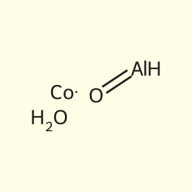 O.[Co].[O]=[AlH]